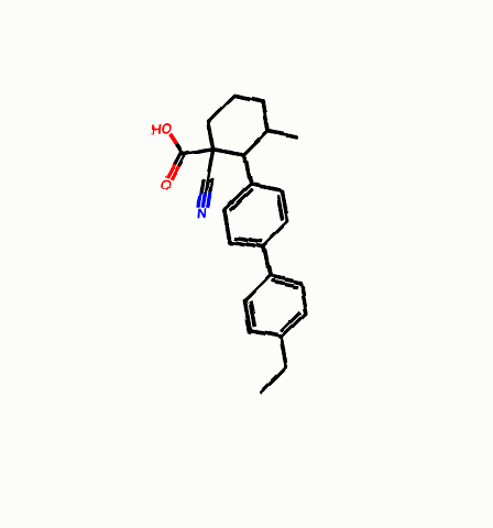 CCc1ccc(-c2ccc(C3C(C)CCCC3(C#N)C(=O)O)cc2)cc1